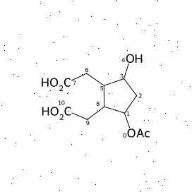 CC(=O)OC1CC(O)C(CC(=O)O)C1CC(=O)O